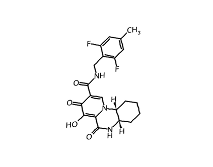 Cc1cc(F)c(CNC(=O)c2cn3c(c(O)c2=O)C(=O)N[C@H]2CCCC[C@H]23)c(F)c1